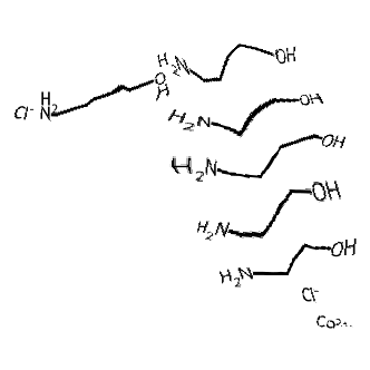 NCCO.NCCO.NCCO.NCCO.NCCO.NCCO.[Cl-].[Cl-].[Co+2]